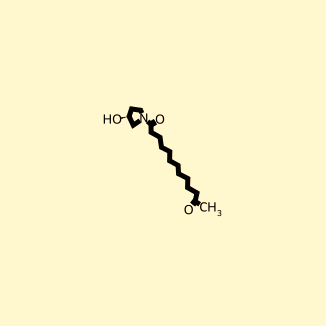 CC(=O)CCCCCCCCCCC(=O)N1CC[C@@H](O)C1